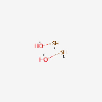 OS.OS